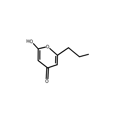 CCCc1cc(=O)cc(O)o1